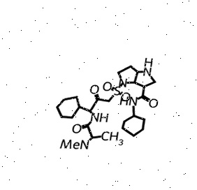 CNC(C)C(=O)NC(C(=O)CS(=O)(=O)N1CCC2NCC(C(=O)NC3CCCCC3)C21)C1CCCCC1